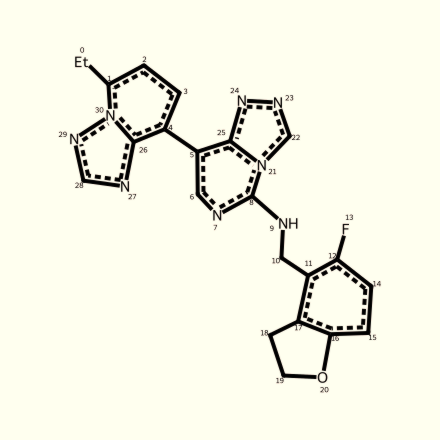 CCc1ccc(-c2cnc(NCc3c(F)ccc4c3CCO4)n3cnnc23)c2ncnn12